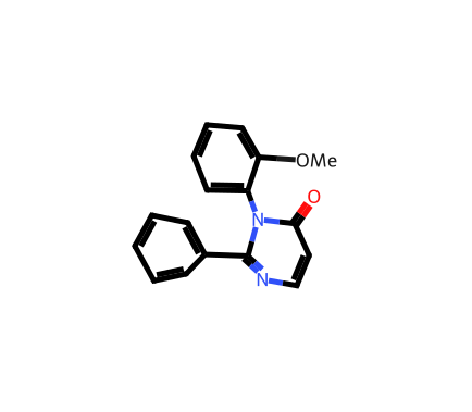 COc1ccccc1-n1c(-c2ccccc2)nccc1=O